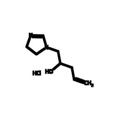 C=CCC(O)CN1C=NCC1.Cl